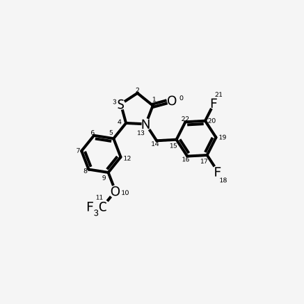 O=C1CSC(c2cccc(OC(F)(F)F)c2)N1Cc1cc(F)cc(F)c1